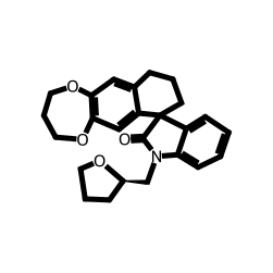 O=C1N(C[C@H]2CCCO2)c2ccccc2C12CCCc1cc3c(cc12)OCCCO3